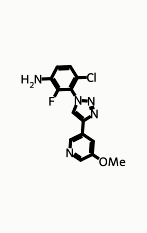 COc1cncc(-c2cn(-c3c(Cl)ccc(N)c3F)nn2)c1